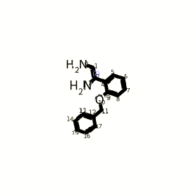 N/C=C(\N)c1ccccc1OCc1ccccc1